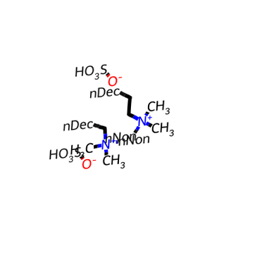 CCCCCCCCCCCC[N+](C)(C)CCCCCCCCC.CCCCCCCCCCC[N+](C)(C)CCCCCCCCC.O=S(=O)([O-])O.O=S(=O)([O-])O